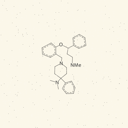 CNCCC(Oc1ccccc1CN1CCC(c2ccccc2)(N(C)C)CC1)c1ccccc1